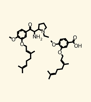 CCN1CCCC1C(N)C(=O)c1ccc(OC)c(OC/C=C(\C)CCC=C(C)C)c1.COc1ccc(C(=O)O)cc1OC/C=C(\C)CCC=C(C)C